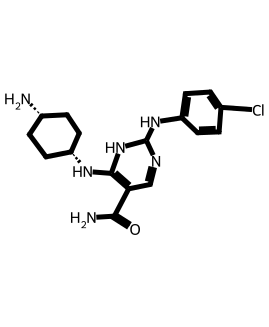 NC(=O)C1=C(N[C@H]2CC[C@@H](N)CC2)NC(Nc2ccc(Cl)cc2)N=C1